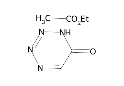 CCOC(C)=O.O=c1cnnn[nH]1